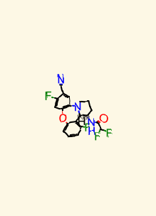 N#Cc1cc2c(cc1F)Oc1cccc(F)c1[C@@H]1[C@@H](NC(=O)C(F)F)CCCN21